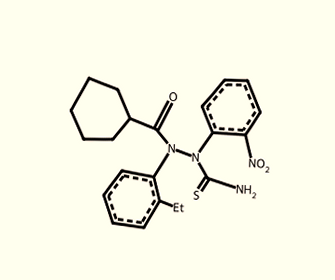 CCc1ccccc1N(C(=O)C1CCCCC1)N(C(N)=S)c1ccccc1[N+](=O)[O-]